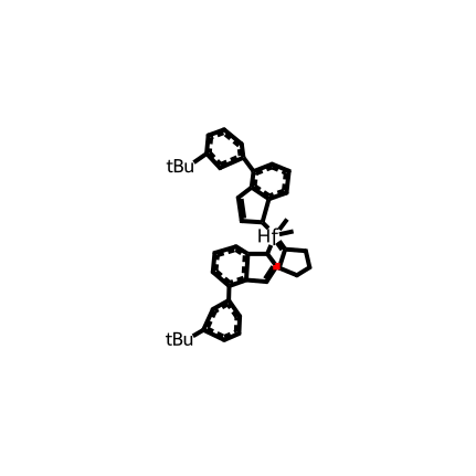 CC(C)(C)c1cccc(-c2cccc3c2C=C[CH]3[Hf]([CH3])([CH3])(=[C]2CCCC2)[CH]2C=Cc3c(-c4cccc(C(C)(C)C)c4)cccc32)c1